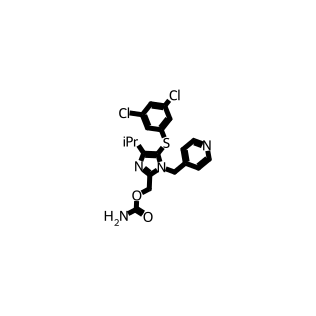 CC(C)c1nc(COC(N)=O)n(Cc2ccncc2)c1Sc1cc(Cl)cc(Cl)c1